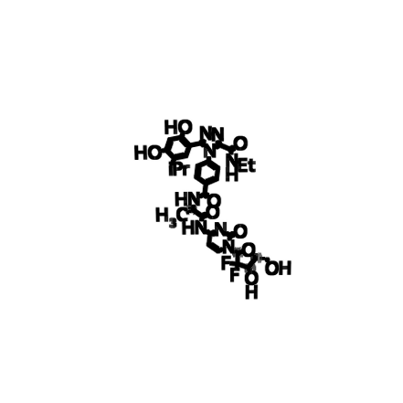 CCNC(=O)c1nnc(-c2cc(C(C)C)c(O)cc2O)n1-c1ccc(C(=O)N[C@@H](C)C(=O)Nc2ccn([C@@H]3O[C@H](CO)[C@@H](O)C3(F)F)c(=O)n2)cc1